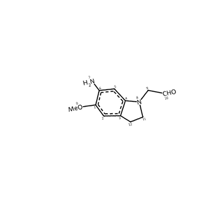 COc1cc2c(cc1N)N(CC=O)CC2